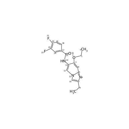 CCOc1cc2nc(CC)cn2cc1NC(=O)c1ccc(F)c(F)c1